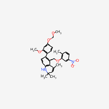 COCOc1ccc(-c2ccc3c(c2COc2cc([N+](=O)[O-])ccc2C)C(C)=CC(C)(C)N3)c(OC)c1